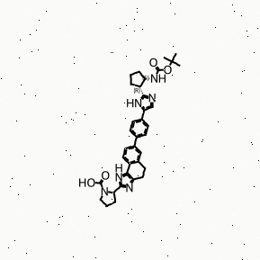 CC(C)(C)OC(=O)N[C@H]1CCC[C@H]1c1ncc(-c2ccc(-c3ccc4c(c3)CCc3nc(C5CCCN5C(=O)O)[nH]c3-4)cc2)[nH]1